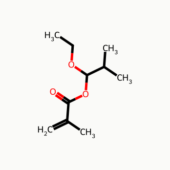 C=C(C)C(=O)OC(OCC)C(C)C